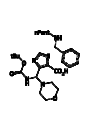 CC(C)(C)OC(=O)NC(c1ncsc1C(=O)O)N1CCOCC1.CCCCCNCc1ccccc1